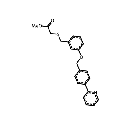 COC(=O)CSCc1cccc(OCc2ccc(-c3ccccn3)cc2)c1